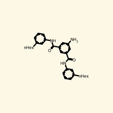 CCCCCCc1cccc(NC(=O)c2cc(N)cc(C(=O)Nc3cccc(CCCCCC)c3)c2)c1